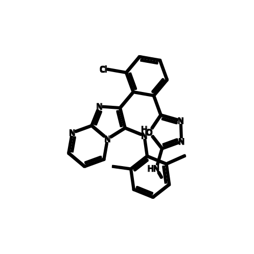 CNc1nnc(-c2cccc(Cl)c2-c2nc3ncccn3c2Nc2c(C)cccc2C)o1